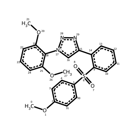 COc1ccc(S(=O)(=O)c2ccccc2-c2cn(-c3c(OC)cccc3OC)nn2)cc1